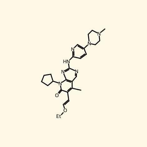 CCOC=Cc1c(C)c2cnc(Nc3ccc(N4CCN(C)CC4)cn3)nc2n(C2CCCC2)c1=O